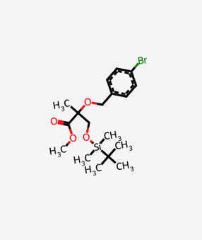 COC(=O)C(C)(CO[Si](C)(C)C(C)(C)C)OCc1ccc(Br)cc1